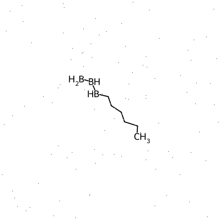 BBBCCCCCC